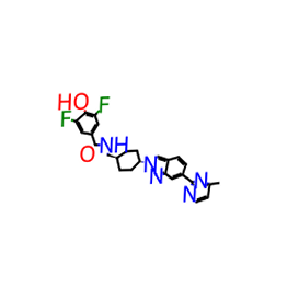 Cc1ccnc(-c2ccc3cn([C@H]4CC[C@H](CNC(=O)c5cc(F)c(O)c(F)c5)CC4)nc3c2)n1